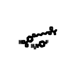 C=C(C)C(=O)OCCCCCCOc1ccc(C(=O)O)cc1.Nc1ccc(F)cc1